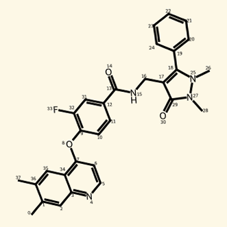 Cc1cc2nccc(Oc3ccc(C(=O)NCc4c(-c5ccccc5)n(C)n(C)c4=O)cc3F)c2cc1C